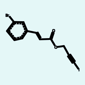 O=C(C=Cc1cccc(Br)c1)OCC#CI